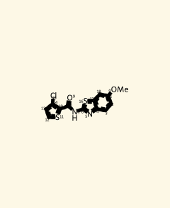 COc1ccc2nc(NC(=O)c3sccc3Cl)sc2c1